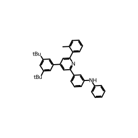 Cc1ccccc1-c1cc(-c2cc(C(C)(C)C)cc(C(C)(C)C)c2)cc(-c2cccc(Nc3ccccc3)c2)n1